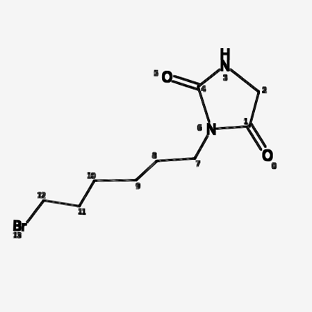 O=C1CNC(=O)N1CCCCCCBr